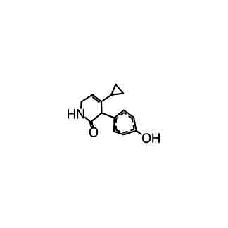 O=C1NCC=C(C2CC2)C1c1ccc(O)cc1